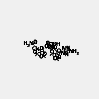 CC(=O)OC1C(OC(C)=O)[C@@H](COP(=O)(O)OP(=O)(O)OC[C@H]2O[C@@H](n3cnc4c(N)ncnc43)C(OC(C)=O)C2OC(C)=O)O[C@H]1N1C=CCC(C(N)=O)=C1